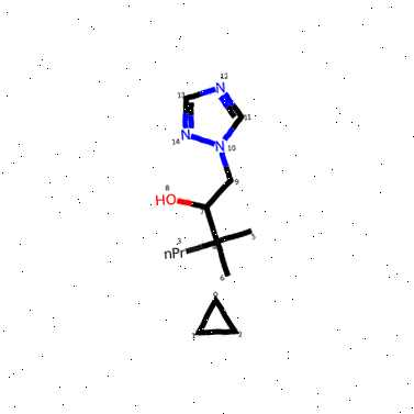 C1CC1.CCCC(C)(C)C(O)Cn1cncn1